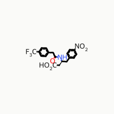 O=C(O)C[C@H](Cc1ccc([N+](=O)[O-])cc1)NC(=O)Cc1ccc(C(F)(F)F)cc1